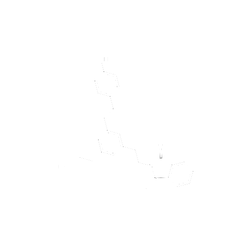 O=C(O)CCc1cc(CCc2ccc(O)cc2)cc(CCN2C(=O)c3ccccc3C2=O)c1